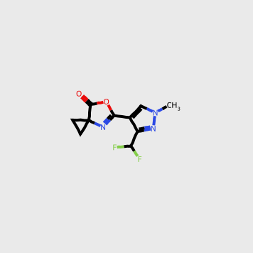 Cn1cc(C2=NC3(CC3)C(=O)O2)c(C(F)F)n1